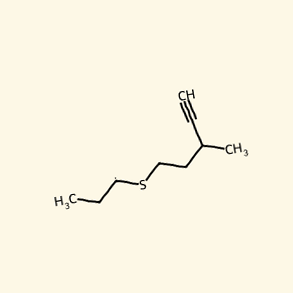 C#CC(C)CCS[CH]CC